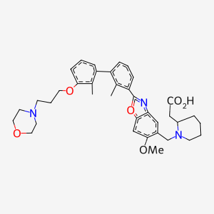 COc1cc2oc(-c3cccc(-c4cccc(OCCCN5CCOCC5)c4C)c3C)nc2cc1CN1CCCCC1CC(=O)O